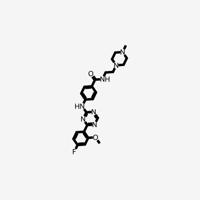 COc1cc(F)ccc1-c1ncnc(Nc2ccc(C(=O)NCCN3CCN(C)CC3)cc2)n1